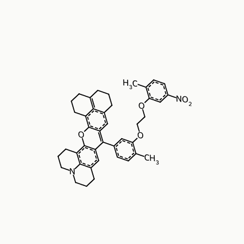 Cc1ccc(C2=c3cc4c5c(c3Oc3c2cc2c6c3CCCN6CCC2)CCCC=5CCC4)cc1OCCOc1cc([N+](=O)[O-])ccc1C